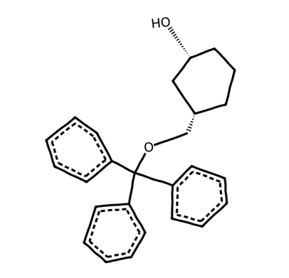 O[C@@H]1CCC[C@H](COC(c2ccccc2)(c2ccccc2)c2ccccc2)C1